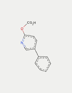 O=C(O)Oc1ccc(-c2ccccc2)cn1